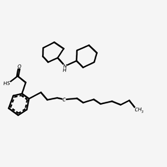 C1CCC(NC2CCCCC2)CC1.CCCCCCCCCCCCc1ccccc1CC(=O)S